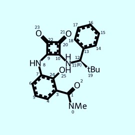 CNC(=O)c1cccc(Nc2c(N[C@@H](c3ccccc3)C(C)(C)C)c(=O)c2=O)c1O